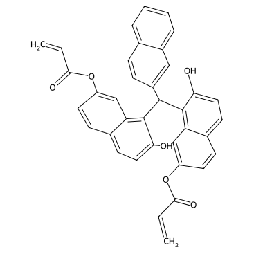 C=CC(=O)Oc1ccc2ccc(O)c(C(c3ccc4ccccc4c3)c3c(O)ccc4ccc(OC(=O)C=C)cc34)c2c1